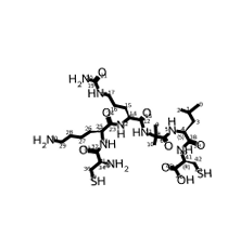 CC(C)C[C@H](NC(=O)C(C)(C)NC(=O)[C@H](CCCNC(N)=O)NC(=O)[C@H](CCCCN)NC(=O)[C@@H](N)CS)C(=O)N[C@@H](CS)C(=O)O